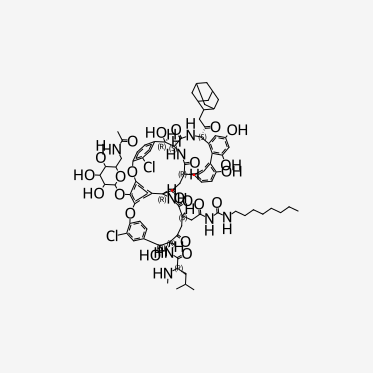 CCCCCCCCNC(=O)NC(=O)C[C@@H]1CC(=O)[C@H](NC(=O)[C@@H](CC(C)C)NC)[C@H](O)c2ccc(c(Cl)c2)Oc2cc3cc(c2OC2OC(CNC(C)=O)C(O)C(O)C2O)Oc2ccc(cc2Cl)[C@@H](O)[C@@H]2NC(=O)[C@H](CC(=O)[C@@H]3NC1=O)c1ccc(O)c(c1)-c1c(O)cc(O)cc1[C@@H](C(=O)CC1C3CC4CC(C3)CC1C4)NC2=O